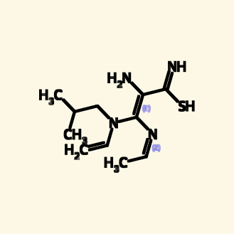 C=CN(CC(C)C)C(/N=C\C)=C(\N)C(=N)S